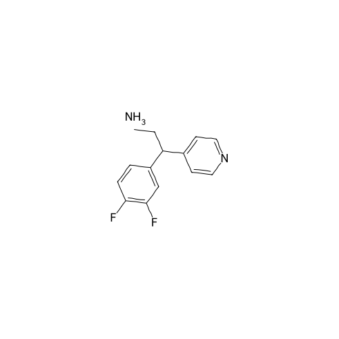 CCC(c1ccncc1)c1ccc(F)c(F)c1.N